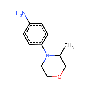 CC1COCCN1c1ccc(N)cc1